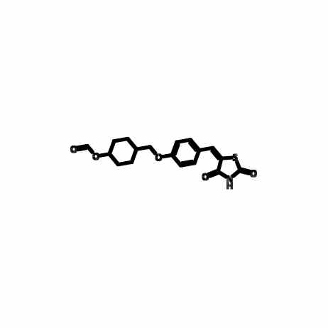 O=COC1CCC(COc2ccc(C=C3SC(=O)NC3=O)cc2)CC1